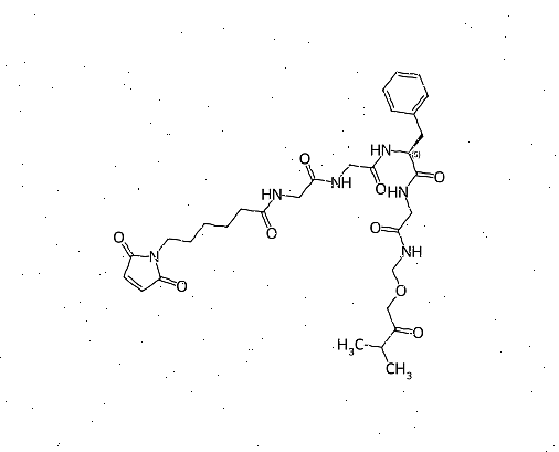 CC(C)C(=O)COCNC(=O)CNC(=O)[C@H](Cc1ccccc1)NC(=O)CNC(=O)CNC(=O)CCCCCN1C(=O)C=CC1=O